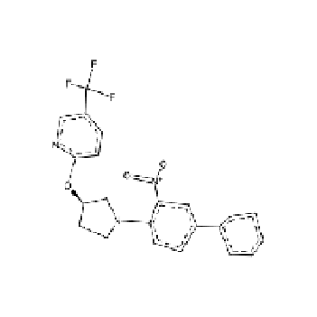 O=[N+]([O-])c1cc(-c2ccccc2)ccc1N1CC[C@@H](Oc2ccc(C(F)(F)F)cn2)C1